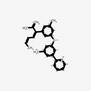 C=C(C)/C(=C\C=C/C)c1cc(C)cc(Oc2cc(C)cc(-c3ccccn3)c2)c1